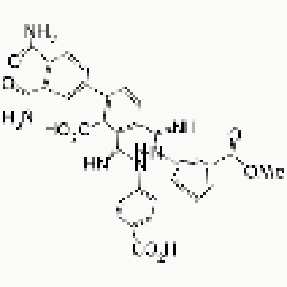 COC(=O)c1cccc(NC(=N)c2ccc(-c3ccc(C(N)=O)c(C(N)=O)c3)c(C(=O)O)c2C(=N)Nc2ccc(C(=O)O)cc2)c1